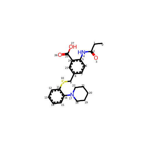 CCC(=O)Nc1ccc(CSc2ccccc2N2CCCCC2)cc1C(=O)O